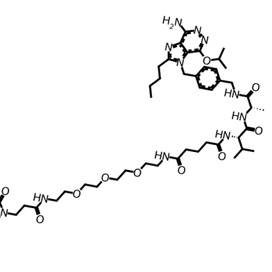 CCCCc1nc2c(N)nnc(OC(C)C)c2n1Cc1ccc(CNC(=O)[C@H](C)NC(=O)[C@@H](NC(=O)CCCC(=O)NCCOCCOCCOCCNC(=O)CCN2C(=O)C=CC2=O)C(C)C)cc1